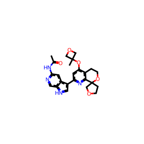 CC(=O)Nc1cc2c(-c3cc(OC4(C)COC4)c4c(n3)C3(CCOC3)OCC4)c[nH]c2cn1